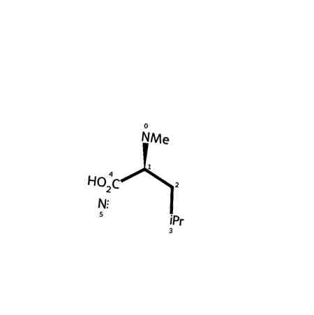 CN[C@@H](CC(C)C)C(=O)O.[N]